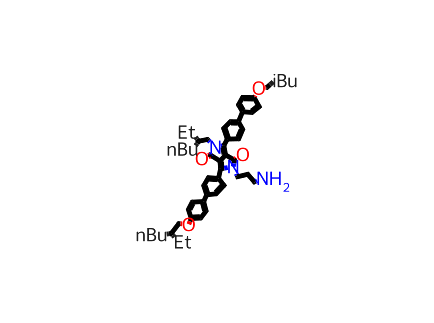 CCCCC(CC)COc1ccc(-c2ccc(C3=C4C(=O)N(CC(CC)CCCC)C(c5ccc(-c6ccc(OCC(C)CC)cc6)cc5)=C4C(=O)N3CCCN)cc2)cc1